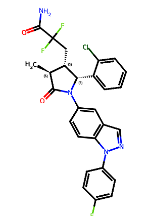 C[C@@H]1C(=O)N(c2ccc3c(cnn3-c3ccc(F)cc3)c2)[C@@H](c2ccccc2Cl)[C@H]1CC(F)(F)C(N)=O